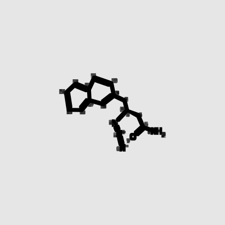 [N-]=[N+]=N[C@H](CC(N)=O)Cc1ccc2ccccc2c1